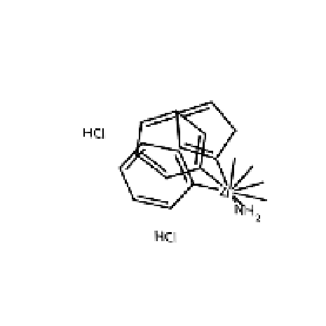 Cl.Cl.[CH3][Zr]([CH3])([CH3])([CH3])([CH3])([NH2])([C]1=CC=CC1)([c]1ccccc1)[c]1ccccc1